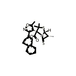 Cc1onc(-c2ccc3ccccc3c2)c1[C@@]1(C(=O)O)N2C(=S)[C@@H](C)[C@H]2SC1(C)C